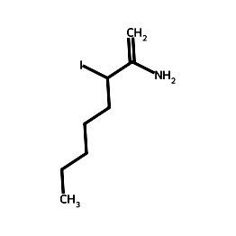 C=C(N)C(I)CCCCC